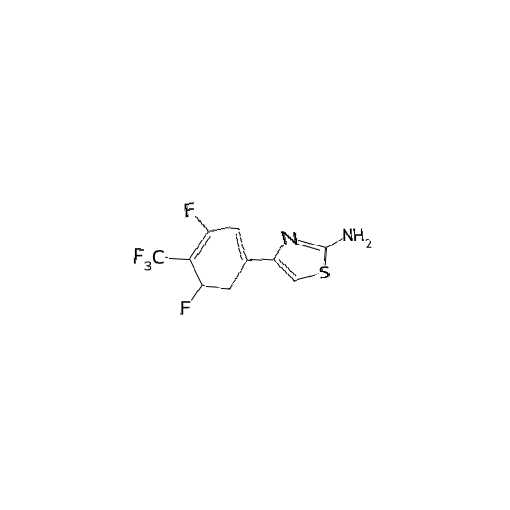 Nc1nc(C2=CC(F)=C(C(F)(F)F)C(F)C2)cs1